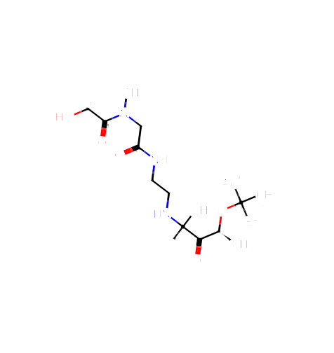 CCC(C)(NCCNC(=O)CN(C)C(=O)CO)C(=O)[C@H](C)OC(C)(CC)C(C)=O